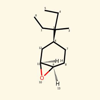 CCC(C)(CC)[C@H]1CC[C@H]2O[C@H]2C1